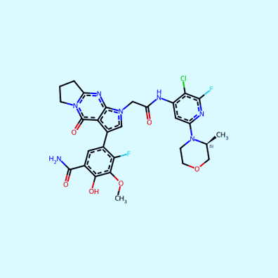 COc1c(O)c(C(N)=O)cc(-c2cn(CC(=O)Nc3cc(N4CCOC[C@@H]4C)nc(F)c3Cl)c3nc4n(c(=O)c23)CCC4)c1F